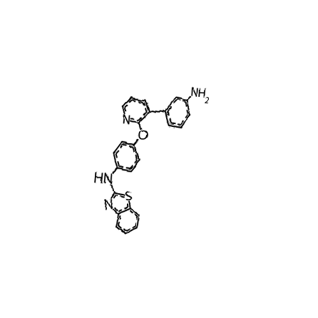 Nc1cccc(-c2cccnc2Oc2ccc(Nc3nc4ccccc4s3)cc2)c1